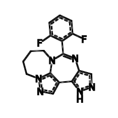 Fc1cccc(F)c1C1=Nc2cn[nH]c2-c2cnn3c2N1CCCC3